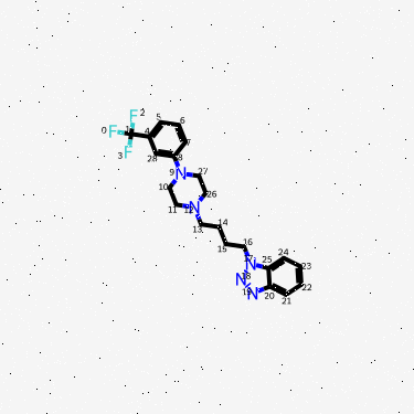 FC(F)(F)c1cccc(N2CCN(CCCCn3nnc4ccccc43)CC2)c1